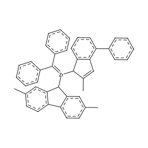 CC1=Cc2c(-c3ccccc3)cccc2[CH]1[Zr](=[C](c1ccccc1)c1ccccc1)[CH]1c2cc(C)ccc2-c2ccc(C)cc21